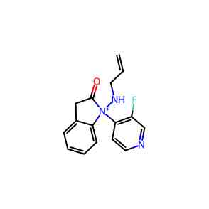 C=CCN[N+]1(c2ccncc2F)C(=O)Cc2ccccc21